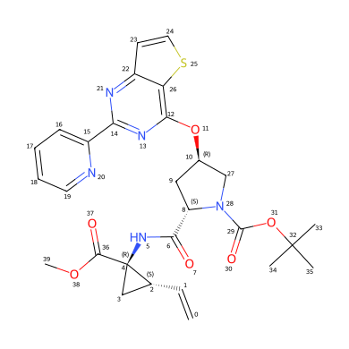 C=C[C@@H]1C[C@]1(NC(=O)[C@@H]1C[C@@H](Oc2nc(-c3ccccn3)nc3ccsc23)CN1C(=O)OC(C)(C)C)C(=O)OC